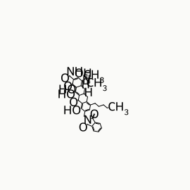 CCCCCc1cc(CN2C(=O)c3ccccc3C2=O)c(O)c2c1C[C@@H]1C[C@@H]3[C@@H](N(C)C)C(O)=C(C(N)=O)C(=O)[C@]3(O)C(O)=C1C2=O